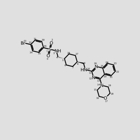 O=S(=O)(NC[C@H]1CC[C@H](CNc2nc(N3CCOCC3)c3ccccc3n2)CC1)c1ccc(Br)cc1